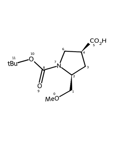 COC[C@@H]1C[C@H](C(=O)O)CN1C(=O)OC(C)(C)C